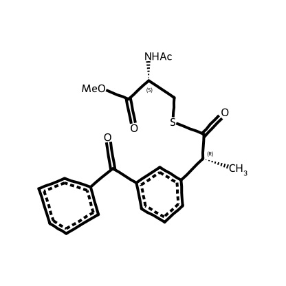 COC(=O)[C@@H](CSC(=O)[C@H](C)c1cccc(C(=O)c2ccccc2)c1)NC(C)=O